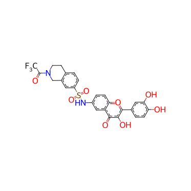 O=C(N1CCc2ccc(S(=O)(=O)Nc3ccc4oc(-c5ccc(O)c(O)c5)c(O)c(=O)c4c3)cc2C1)C(F)(F)F